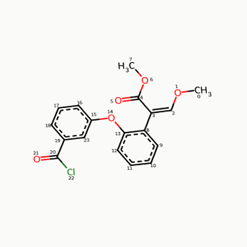 COC=C(C(=O)OC)c1ccccc1Oc1cccc(C(=O)Cl)c1